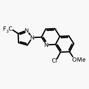 COc1ccc2[c]cc(-n3ccc(C(F)(F)F)n3)nc2c1Cl